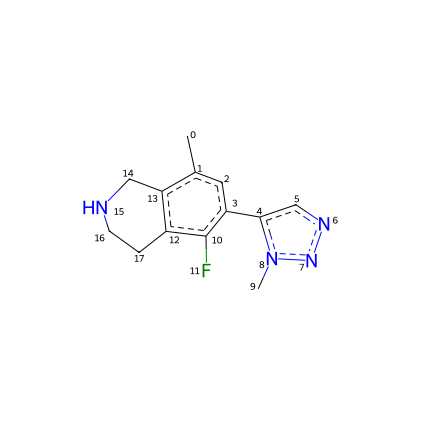 Cc1cc(-c2cnnn2C)c(F)c2c1CNCC2